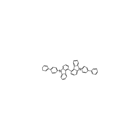 C1=CC(c2ccc(-n3c4ccccc4c4c(-c5cccc6c5c5ccccc5n6-c5ccc(-c6ccccc6)cc5)cccc43)cc2)=CCC1